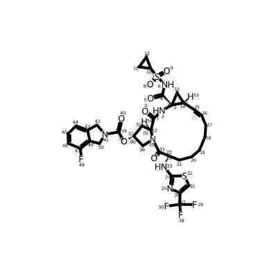 O=C1N[C@]2(C(=O)NS(=O)(=O)C3CC3)C[C@H]2/C=C\CCCCC[C@H](Nc2nc(C(F)(F)F)cs2)C(=O)N2C[C@H](OC(=O)N3Cc4cccc(F)c4C3)C[C@@H]12